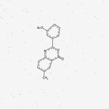 CC(=O)Oc1cccc(-c2nc3ccc(C)cc3c(=O)o2)c1